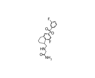 NC(=O)CNCC1CCCc2cc(S(=O)(=O)c3cccc(F)c3)cc(F)c21